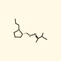 CCCN1CCC[C@H]1CO/N=C(\C)C(C)C